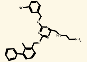 Cc1c(COc2nc(CNCCN)nc(OCc3cccc(C#N)c3)n2)cccc1-c1ccccc1